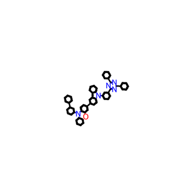 c1ccc(-c2cccc(N3c4ccccc4Oc4cc(-c5ccc6c(c5)c5ccccc5n6-c5cccc(-c6nc(-c7ccccc7)nc(-c7ccccc7)n6)c5)ccc43)c2)cc1